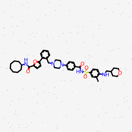 Cc1cc(S(=O)(=O)NC(=O)c2ccc(N3CCN(Cc4ccccc4-c4ccc(C(=O)NC5CCCCCCC5)o4)CC3)cc2)ccc1NCC1CCOCC1